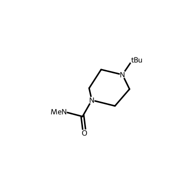 CNC(=O)N1CCN(C(C)(C)C)CC1